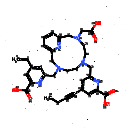 C=Cc1cc(CN2CCN(Cc3cc(C#CCC)cc(C(=O)O)n3)CCN(CC(=O)O)Cc3cccc(n3)C2)nc(C(=O)O)c1